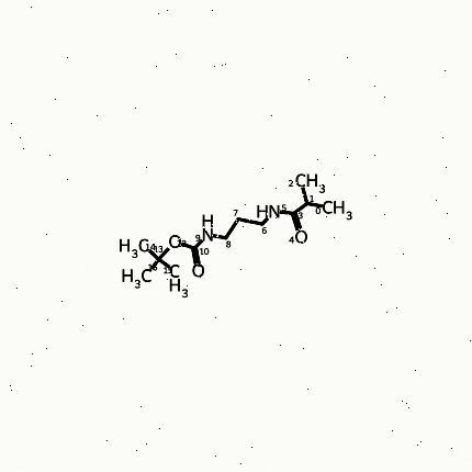 CC(C)C(=O)NCCCNC(=O)OC(C)(C)C